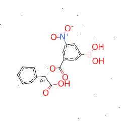 O=C(O[C@H](C(=O)O)c1ccccc1)c1cc(B(O)O)cc([N+](=O)[O-])c1